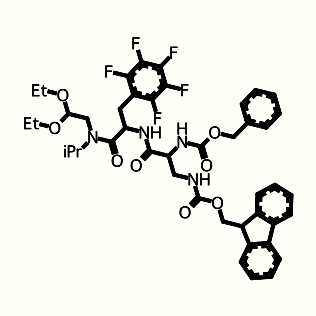 CCOC(CN(C(=O)C(Cc1c(F)c(F)c(F)c(F)c1F)NC(=O)C(CNC(=O)OCC1c2ccccc2-c2ccccc21)NC(=O)OCc1ccccc1)C(C)C)OCC